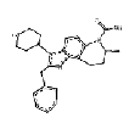 C[C@H]1CCc2c(ccc3c2nc(Cc2ccccc2)n3C2CCNCC2)N1C(=O)O